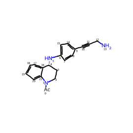 CC(=O)N1CC[C@@H](Nc2ccc(C#CCN)cc2)c2ccccc21